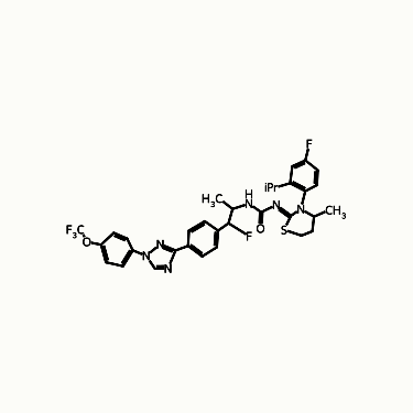 CC(C)c1cc(F)ccc1N1/C(=N/C(=O)NC(C)C(F)c2ccc(-c3ncn(-c4ccc(OC(F)(F)F)cc4)n3)cc2)SCCC1C